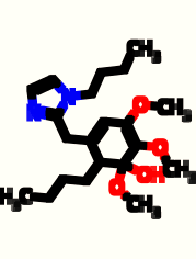 CCCCC1C(Cc2nccn2CCCC)=CC(OC)=C(OC)C1(O)OC